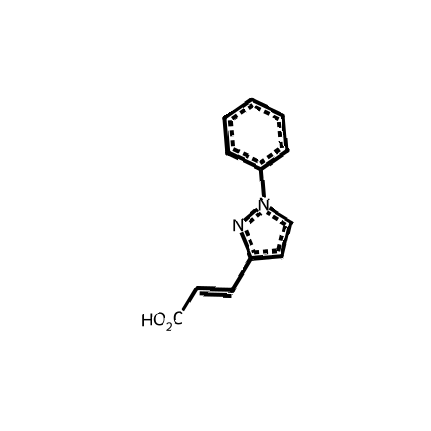 O=C(O)C=Cc1ccn(-c2ccccc2)n1